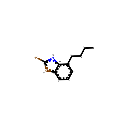 CCCCc1cccc2sc(S)nc12